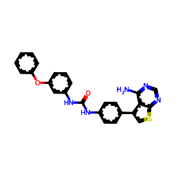 Nc1ncnc2scc(-c3ccc(NC(=O)Nc4cccc(Oc5ccccc5)c4)cc3)c12